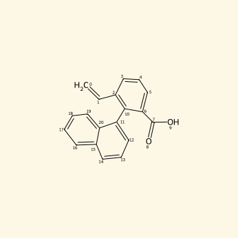 C=Cc1cccc(C(=O)O)c1-c1cccc2ccccc12